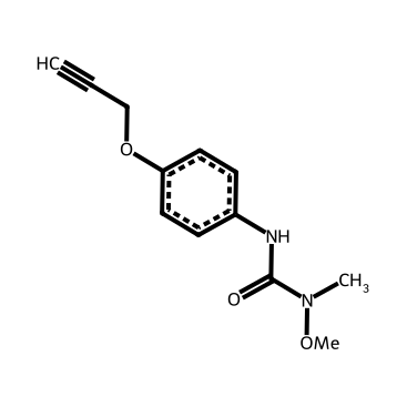 C#CCOc1ccc(NC(=O)N(C)OC)cc1